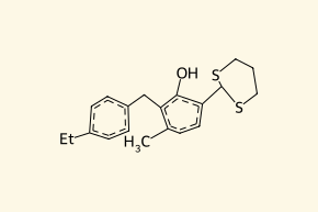 CCc1ccc(Cc2c(C)ccc(C3SCCCS3)c2O)cc1